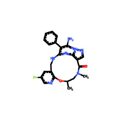 CC1CN(C)C(=O)c2cnn3c(N)c(-c4ccccc4)c(nc23)NCc2cc(F)cnc2O1